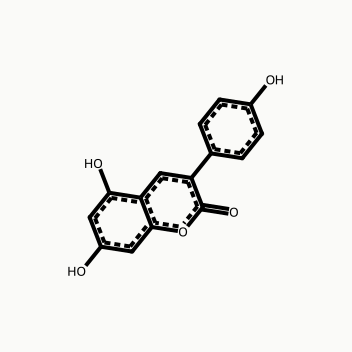 O=c1oc2cc(O)cc(O)c2cc1-c1ccc(O)cc1